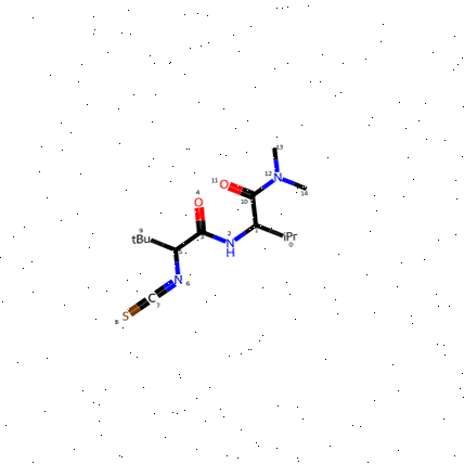 CC(C)C(NC(=O)C(N=C=S)C(C)(C)C)C(=O)N(C)C